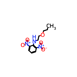 CCCOCCNc1c([N+](=O)[O-])cccc1[N+](=O)[O-]